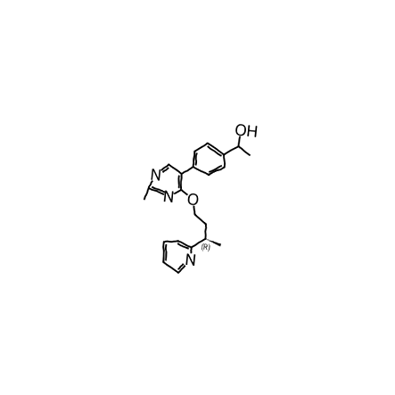 Cc1ncc(-c2ccc(C(C)O)cc2)c(OCC[C@@H](C)c2ccccn2)n1